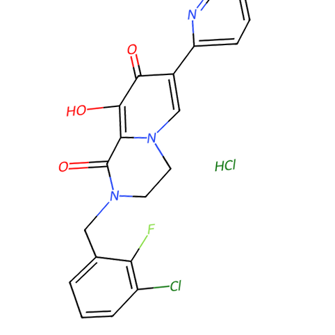 Cl.O=C1c2c(O)c(=O)c(-c3ccccn3)cn2CCN1Cc1cccc(Cl)c1F